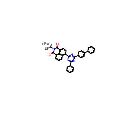 CCCCCC(CC)N1C(=O)c2cccc3c(-c4nc(-c5ccccc5)nc(-c5ccc(-c6ccccc6)cc5)n4)ccc(c23)C1=O